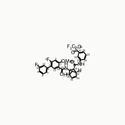 COc1cc(F)c(-c2cccc(F)c2)cc1C(=O)N[C@H]1[C@@H](C(=O)Nc2cccc(S(=O)(=O)C(F)(F)F)c2)[C@@H]2C=C[C@H]1C2